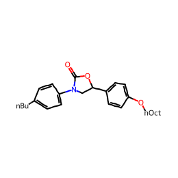 CCCCCCCCOc1ccc(C2CN(c3ccc(CCCC)cc3)C(=O)O2)cc1